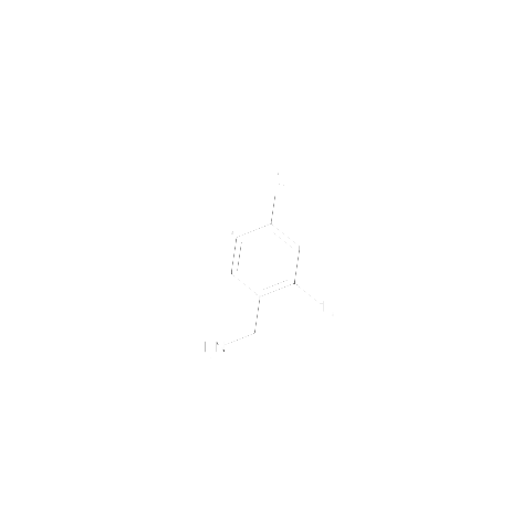 NCc1ccc(Br)cc1I